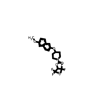 COc1ccc2cc(OC3CCN(C(=O)OC(C(F)(F)F)C(F)(F)F)CC3)ccc2c1